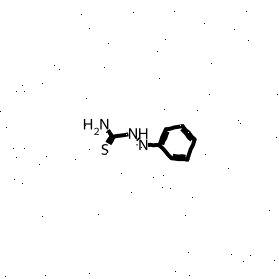 NC(=S)N[N]c1ccccc1